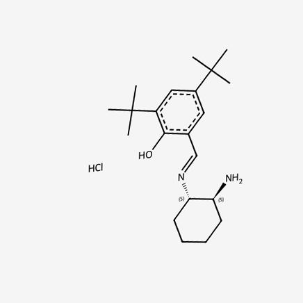 CC(C)(C)c1cc(C=N[C@H]2CCCC[C@@H]2N)c(O)c(C(C)(C)C)c1.Cl